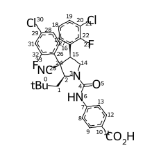 CC(C)(C)C[C@@H]1N(C(=O)Nc2ccc(C(=O)O)cc2)C[C@H](c2cccc(Cl)c2F)[C@@]1(C#N)c1ccc(Cl)cc1F